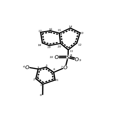 Cc1cc([O])cc(OS(=O)(=O)c2cccc3ccccc23)c1